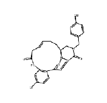 N#Cc1ccc(CN2CC3CC/C=C/CC(=O)Nc4cc(Cl)ccc4-c4cc(n3n4)C2=O)cc1